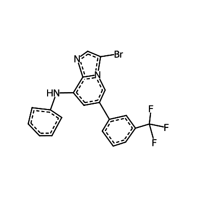 FC(F)(F)c1cccc(-c2cc(Nc3ccccc3)c3ncc(Br)n3c2)c1